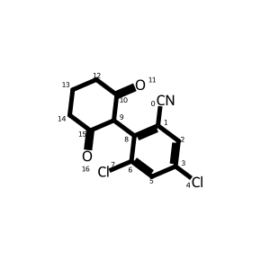 N#Cc1cc(Cl)cc(Cl)c1C1C(=O)CCCC1=O